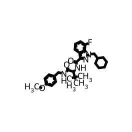 COc1ccc(CNC(=O)C(NC(=O)c2nn(CC3CCCCC3)c3c(F)cccc23)C(C)(C)C)cc1